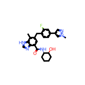 Cc1c(Cc2ccc(-c3cnn(C)c3)cc2F)cc(C(=O)N[C@H]2CCCC[C@@H]2O)c2nc[nH]c12